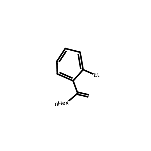 C=C(CCCCCC)c1ccccc1CC